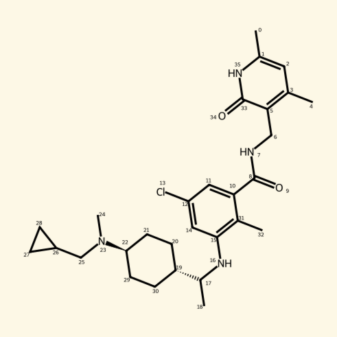 Cc1cc(C)c(CNC(=O)c2cc(Cl)cc(NC(C)[C@H]3CC[C@H](N(C)CC4CC4)CC3)c2C)c(=O)[nH]1